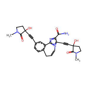 CN1CCC(O)(C#Cc2ccc3c(c2)-c2nc(C(N)=O)c(C#CC4(O)CCN(C)C4=O)n2C=CC3)C1=O